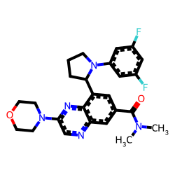 CN(C)C(=O)c1cc(C2CCCN2c2cc(F)cc(F)c2)c2nc(N3CCOCC3)cnc2c1